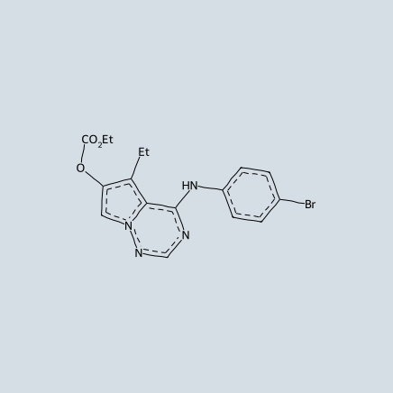 CCOC(=O)Oc1cn2ncnc(Nc3ccc(Br)cc3)c2c1CC